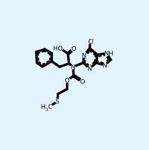 CSCCOC(=O)N(c1nc(Cl)c2[nH]cnc2n1)C(Cc1ccccc1)C(=O)O